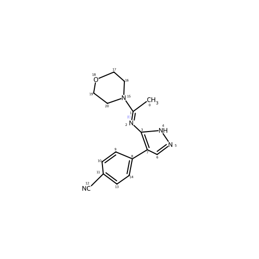 C/C(=N\c1[nH]ncc1-c1ccc(C#N)cc1)N1CCOCC1